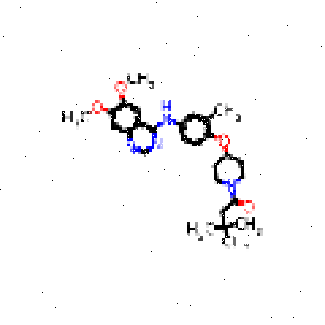 COc1cc2ncnc(Nc3ccc(OC4CCN(C(=O)CC(C)(C)C)CC4)c(C)c3)c2cc1OC